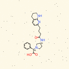 O=C(CCCc1ccc2c(n1)NCCC2)N[C@@H]1CCN([C@@H](C(=O)O)c2ccccc2)C1